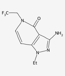 CCn1nc(N)c2c(=O)n(CC(F)(F)F)ccc21